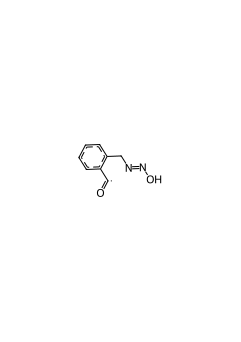 O=[C]c1ccccc1CN=NO